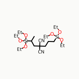 CCO[Si](CCCC(C#N)(C#N)CC(C)[Si](OCC)(OCC)OCC)(OCC)OCC